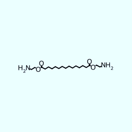 NCCOC(=O)CCCCCCCCCCCCCC(=O)OCCN